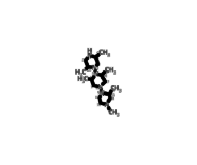 CC1CN(N2C(C)CN(N3CCN(C)CC3C)CC2C)C(C)CN1